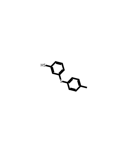 Cc1ccc(Sc2cccc(S)c2)cc1